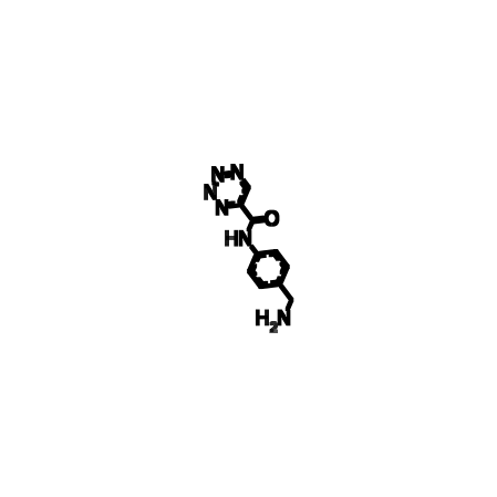 NCc1ccc(NC(=O)c2cnnnn2)cc1